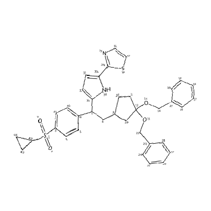 O=S(=O)(c1ccc(C(CC2CCC(OCc3ccccc3)(OCc3ccccc3)C2)c2ccc(-c3nccs3)[nH]2)cc1)C1CC1